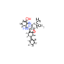 CC1(C)CC(=O)C2=C(C1)Nc1c(O)cccc1NC2c1ccc(-c2ccccc2)cc1